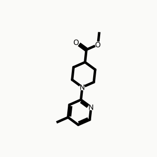 COC(=O)C1CCN(c2cc(C)ccn2)CC1